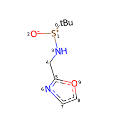 CC(C)(C)[S+]([O-])NCc1ncco1